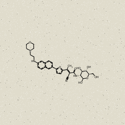 C/C(=C(/C#N)C(=O)N[C@H]1C(O)O[C@H](CO)[C@@H](O)[C@@H]1O)c1ccc(-c2ccc3cc(NCCN4CCOCC4)ccc3c2)o1